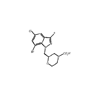 O=C(O)N1CCOC(Cn2nc(F)c3cc(Cl)cc(Br)c32)C1